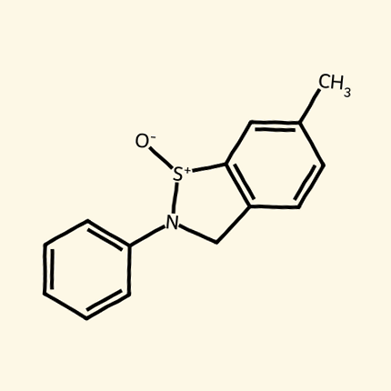 Cc1ccc2c(c1)[S+]([O-])N(c1ccccc1)C2